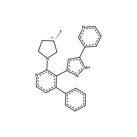 F[C@H]1CCN(c2nccc(-c3ccccc3)c2-c2cc(-c3cccnc3)[nH]n2)C1